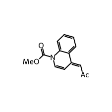 COC(=O)N1C=CC(=CC(C)=O)c2ccccc21